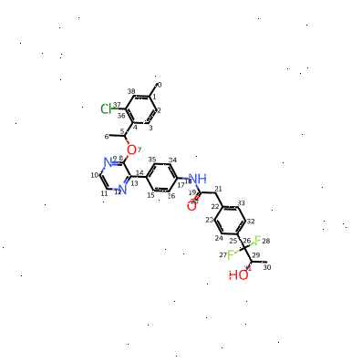 Cc1ccc(C(C)Oc2nccnc2-c2ccc(NC(=O)Cc3ccc(C(F)(F)C(C)O)cc3)cc2)c(Cl)c1